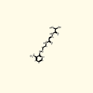 CCCC(CCC)C(=O)N/N=C/C(=O)NCCSSc1ncccc1[N+](=O)[O-]